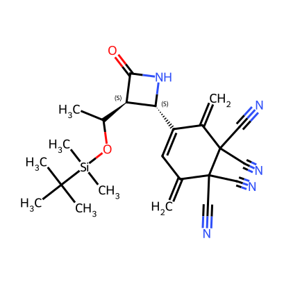 C=C1C=C([C@H]2NC(=O)[C@@H]2C(C)O[Si](C)(C)C(C)(C)C)C(=C)C(C#N)(C#N)C1(C#N)C#N